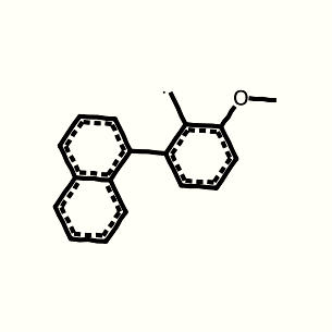 [CH2]c1c(OC)cccc1-c1cccc2ccccc12